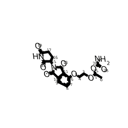 CC(OCCOc1cccc2c1C(=O)N(C1CCC(=O)NC1=O)C2=O)OC(N)=O